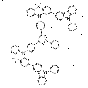 CC1(C)c2ccccc2N(c2ccc(-c3cc(-c4ccc(N5c6ccccc6C(C)(C)c6ccc(-c7ccc8c(c7)c7ccccc7n8-c7ccccc7)cc65)cc4)nc(-c4ccccc4)n3)cc2)c2cc(-c3ccc4c(c3)c3ccccc3n4-c3ccccc3)ccc21